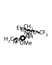 C=C(OCC)c1cc(COCCC(F)(F)F)nc(Nc2ccc(-n3cnc(C)c3)c(OC)c2)n1